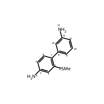 CSc1cc(N)ccc1-c1cccc(N)c1